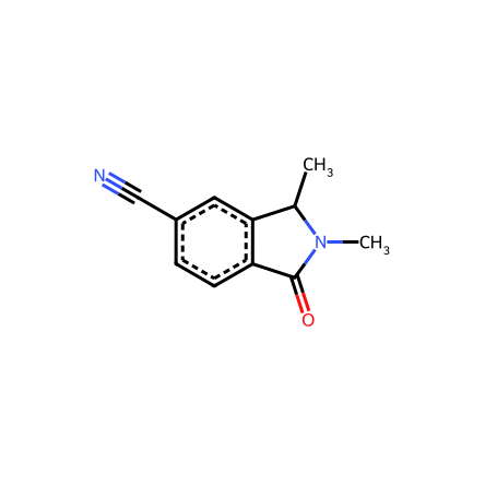 CC1c2cc(C#N)ccc2C(=O)N1C